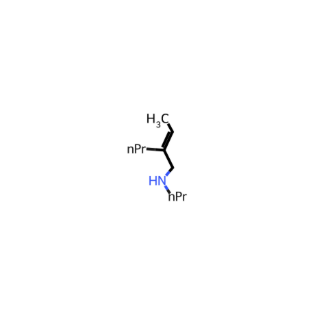 C/C=C(\CCC)CNCCC